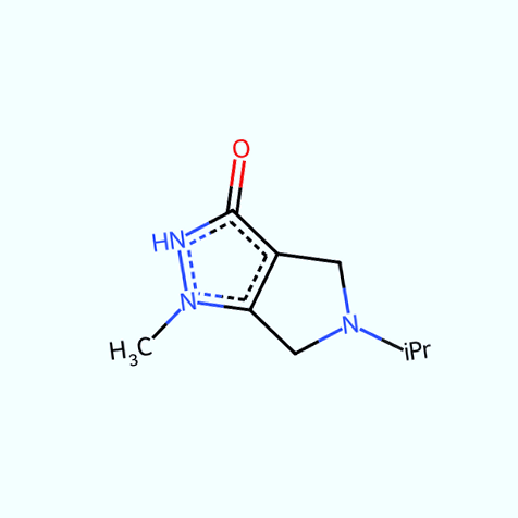 CC(C)N1Cc2c(n(C)[nH]c2=O)C1